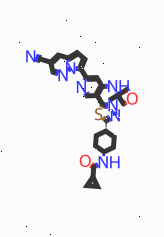 CC1(Nc2cc(-c3ccc4cc(C#N)cnn34)ncc2-c2nnc([C@H]3CC[C@H](NC(=O)C4CC4)CC3)s2)COC1